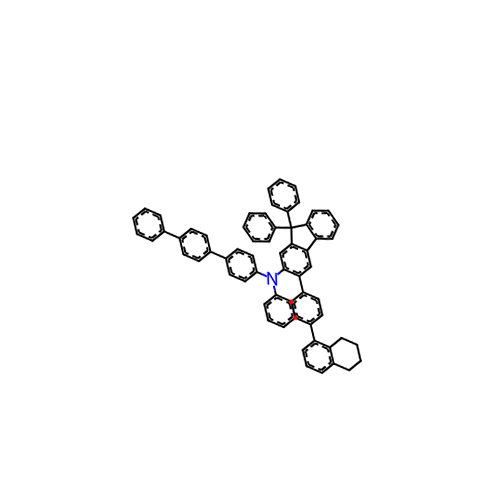 c1ccc(-c2ccc(-c3ccc(N(c4ccccc4)c4cc5c(cc4-c4ccc(-c6cccc7c6CCCC7)cc4)-c4ccccc4C5(c4ccccc4)c4ccccc4)cc3)cc2)cc1